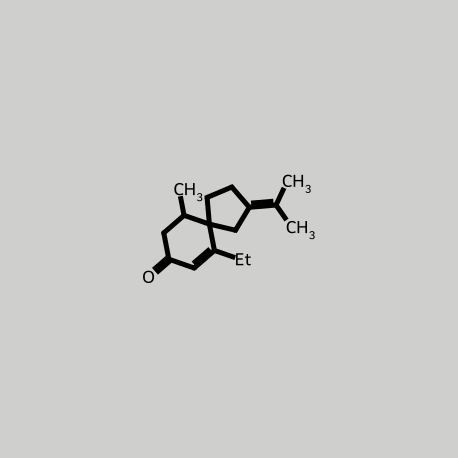 CCC1=CC(=O)CC(C)C12CCC(=C(C)C)C2